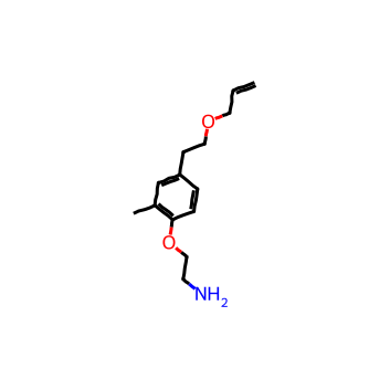 C=CCOCCc1ccc(OCCN)c(C)c1